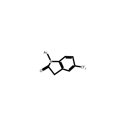 CC(=O)N1C(=O)Cc2cc(C(F)(F)F)ccc21